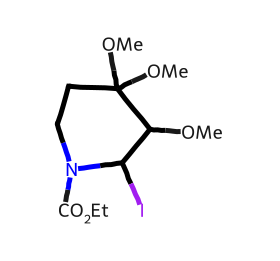 CCOC(=O)N1CCC(OC)(OC)C(OC)C1I